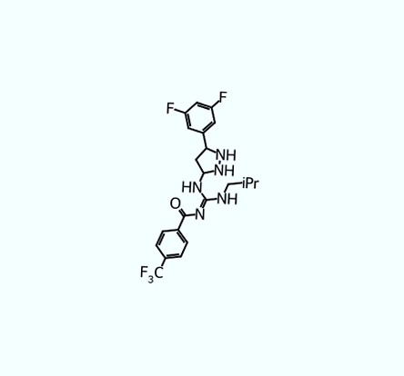 CC(C)CN/C(=N/C(=O)c1ccc(C(F)(F)F)cc1)NC1CC(c2cc(F)cc(F)c2)NN1